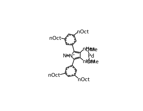 CCCCCCCCc1cc(CCCCCCCC)cc(C2=C(CCCCCC)C(CCCCCC)=C(c3cc(CCCCCCCC)cc(CCCCCCCC)c3)[N+]2=[N-])c1.C[O][Pd][O]C